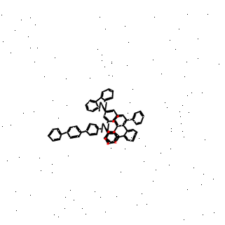 c1ccc(-c2ccc(-c3ccc(N(c4cccc(-n5c6ccccc6c6ccccc65)c4)c4ccccc4-c4cccc(-c5ccccc5)c4-c4ccccc4-c4ccccc4)cc3)cc2)cc1